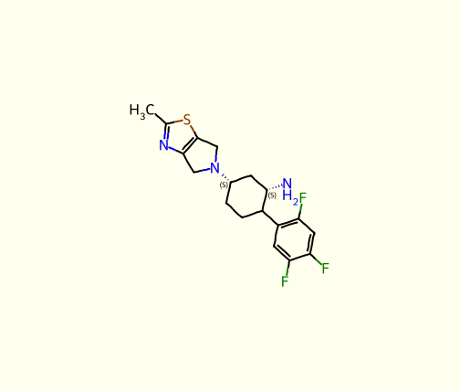 Cc1nc2c(s1)CN([C@H]1CCC(c3cc(F)c(F)cc3F)[C@@H](N)C1)C2